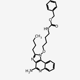 CCCCc1nc2c(N)nc3ccccc3c2n1OCCCCNC(=O)OCc1ccccc1